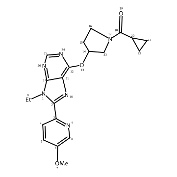 CCn1c(-c2ccc(OC)cn2)nc2c(OC3CCN(C(=O)C4CC4)C3)ncnc21